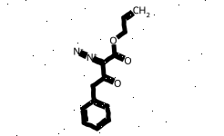 C=CCOC(=O)C(=[N+]=[N-])C(=O)Cc1ccccc1